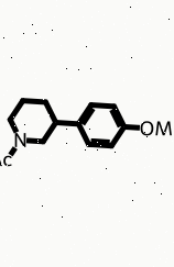 COc1ccc(C2CCCN(C(C)=O)C2)cc1